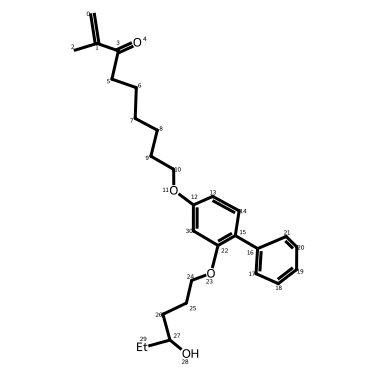 C=C(C)C(=O)CCCCCCOc1ccc(-c2ccccc2)c(OCCCC(O)CC)c1